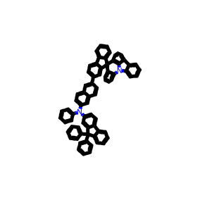 c1ccc(N(c2ccc3c(c2)C(c2ccccc2)(c2ccccc2)c2ccccc2-3)c2ccc3cc(-c4ccc5c(c4)C4(c6ccccc6-5)c5ccccc5-n5c6ccccc6c6cccc4c65)ccc3c2)cc1